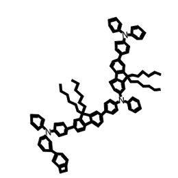 CCCCCCC1(CCCCCC)c2cc(-c3ccc(N(c4ccccc4)c4cccc(-c5ccc6c(c5)CC6)c4)cc3)ccc2-c2ccc(-c3ccc(N(c4ccccc4)c4ccc5c(c4)C(CCCCCC)(CCCCCC)c4cc(-c6ccc(N(c7ccccc7)c7ccccc7)cc6)ccc4-5)cc3)cc21